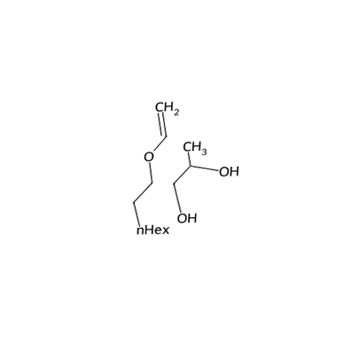 C=COCCCCCCCC.CC(O)CO